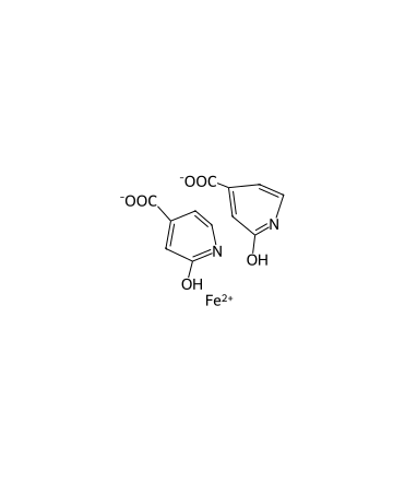 O=C([O-])c1ccnc(O)c1.O=C([O-])c1ccnc(O)c1.[Fe+2]